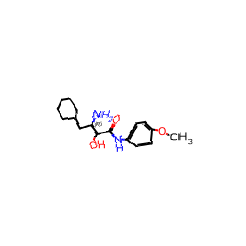 COc1ccc(NC(=O)C(O)[C@H](N)CC2CCCCC2)cc1